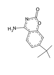 CC(C)(C)c1ccc2c(N)nc(=O)oc2c1